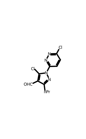 CCCc1nn(-c2ccc(Cl)nn2)c(Cl)c1C=O